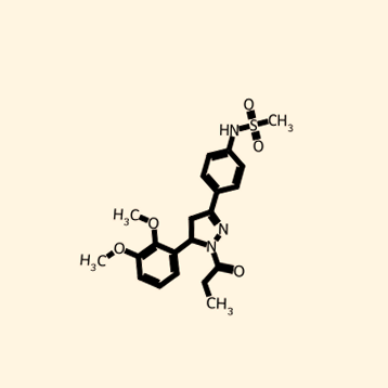 CCC(=O)N1N=C(c2ccc(NS(C)(=O)=O)cc2)CC1c1cccc(OC)c1OC